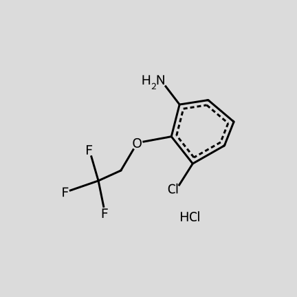 Cl.Nc1cccc(Cl)c1OCC(F)(F)F